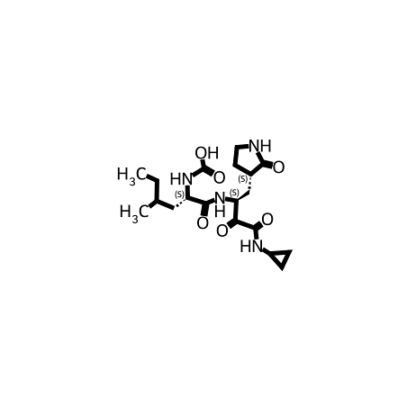 CCC(C)C[C@H](NC(=O)O)C(=O)N[C@@H](C[C@@H]1CCNC1=O)C(=O)C(=O)NC1CC1